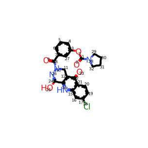 O=C(Oc1cccc(C(=O)N2Cc3c([nH]c4cc(Cl)ccc4c3=O)C(O)=N2)c1)N1CCCC1